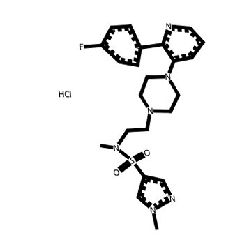 CN(CCN1CCN(c2cccnc2-c2ccc(F)cc2)CC1)S(=O)(=O)c1cnn(C)c1.Cl